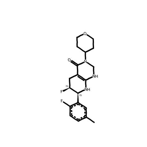 Cc1ccc(F)c([C@@H]2NC3=C(C[C@@H]2F)C(=O)N(C2CCOCC2)CN3)c1